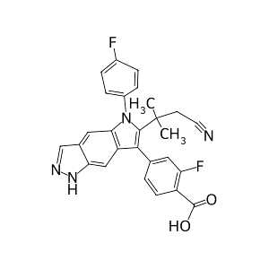 CC(C)(CC#N)c1c(-c2ccc(C(=O)O)c(F)c2)c2cc3[nH]ncc3cc2n1-c1ccc(F)cc1